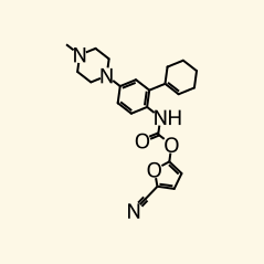 CN1CCN(c2ccc(NC(=O)Oc3ccc(C#N)o3)c(C3=CCCCC3)c2)CC1